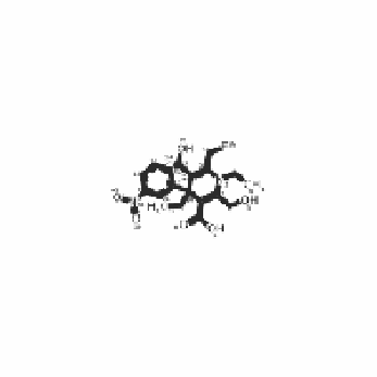 CCN1C(CO)=C(C(=O)O)C(CC)(c2cccc([N+](=O)[O-])c2)C(C(=O)O)=C1CF